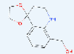 OCc1cccc2c1NCCC21OCCO1